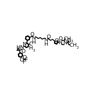 C=CC(=O)N1CCN(c2ccc(CCC(=O)NCCCCCNC(=O)c3cccc(-c4nc(NC(=O)C5(c6ccc7c(c6)OC(F)(F)O7)CC5)ccc4C)c3)o2)C(=O)C1C